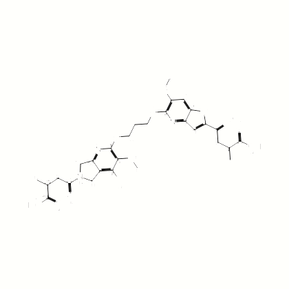 COc1cc2sc(C(=O)CC(C)C(=O)O)cc2nc1OCCCOc1nc2c(c(Cl)c1OC)CN(C(=O)CC(C)C(=O)O)C2